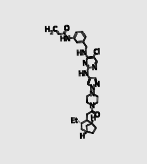 C=CC(=O)Nc1cccc(CNc2nc(Nc3cnn(N4CCN(C(=O)CC5[C@@H]6CC[C@@H](C6)C[C@@H]5CC)CC4)c3)ncc2Cl)c1